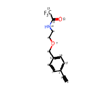 C#Cc1ccc(COCCNC(=O)C(F)(F)F)cc1